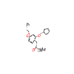 COC(=O)Cc1ccc(OCCC(C)C)cc1OCc1ccccc1